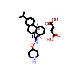 CC(C)c1ccc2c(c1)CC[C@H]1[C@](C)(/C=N/OC3CCNCC3)CCC[C@]21C.O=C(O)/C=C/C(=O)O